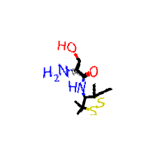 CC1(C)SSC(C)(C)C1NC(=O)[C@H](N)CO